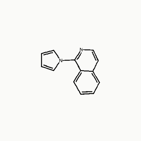 c1ccc2c(-n3cccc3)nccc2c1